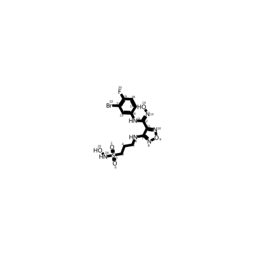 O=S(=O)(CCCNc1nonc1/C(=N/O)Nc1ccc(F)c(Br)c1)NO